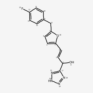 OC(C=Cc1ccc(Cc2ccc(F)cc2)o1)c1nn[nH]n1